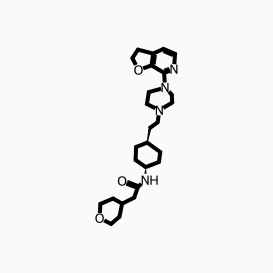 O=C(CC1CCOCC1)N[C@H]1CC[C@H](CCN2CCN(c3nccc4c3OCC4)CC2)CC1